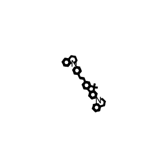 CC1(C)c2cc(/C=C/c3ccc(N4CCCc5ccccc54)cc3)ccc2-c2ccc(N3CCCc4ccccc43)cc21